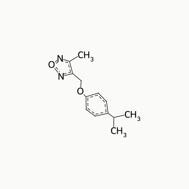 Cc1nonc1COc1ccc(C(C)C)cc1